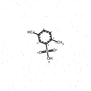 [CH]c1ccc(C)c(S(=O)(=O)O)c1